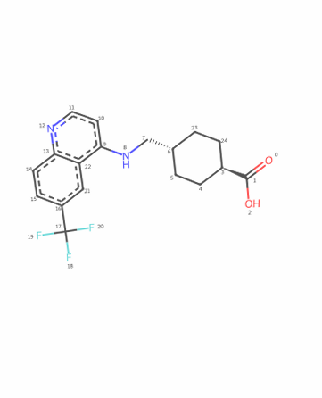 O=C(O)[C@H]1CC[C@H](CNc2ccnc3ccc(C(F)(F)F)cc23)CC1